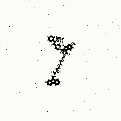 CN[C@@H](C)C(=O)NC(C(=O)N1CCN(C(=O)c2c(C(=O)NCCOCCOCCNC(=O)OCC3c4ccccc4-c4ccccc43)c3ccc(OC)cc3n2C)CC1)C1CCCCC1